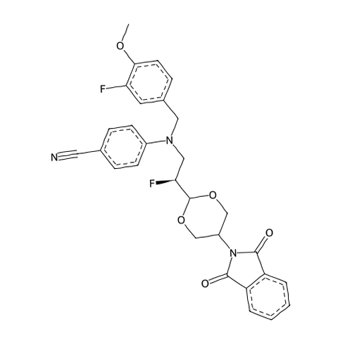 COc1ccc(CN(C[C@H](F)C2OCC(N3C(=O)c4ccccc4C3=O)CO2)c2ccc(C#N)cc2)cc1F